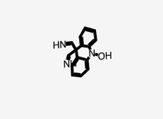 N=CC1(C=N)c2ccccc2N(O)c2ccccc21